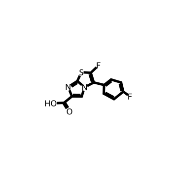 O=C(O)c1cn2c(-c3ccc(F)cc3)c(F)sc2n1